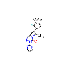 COc1cccc(-c2cc3cnn(-c4ncccn4)c(=O)n3c2C)c1F